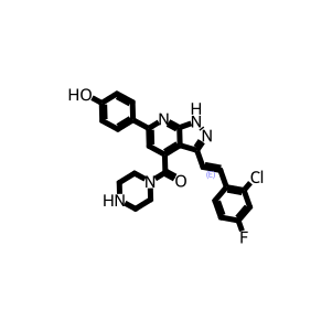 O=C(c1cc(-c2ccc(O)cc2)nc2[nH]nc(/C=C/c3ccc(F)cc3Cl)c12)N1CCNCC1